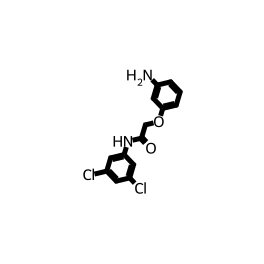 Nc1cccc(OCC(=O)Nc2cc(Cl)cc(Cl)c2)c1